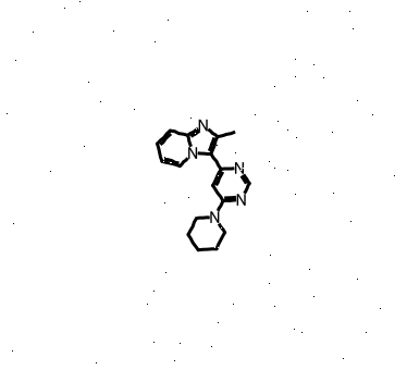 Cc1nc2ccccn2c1-c1cc(N2CCCCC2)ncn1